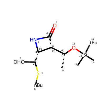 CCCCSC(C=O)[C@@H]1NC(=O)[C@@H]1[C@@H](C)O[Si](C)(C)C(C)(C)C